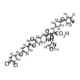 Cc1nc(C(=O)N2Cc3cc4c(cc3C[C@H]2C(=O)NC(Cc2ccc(Oc3ccnc(C)c3C)cc2)C(=O)O)OC[C@H](c2ccc(OCc3ccc(Cl)c(Cl)c3)cc2)O4)c(C)o1